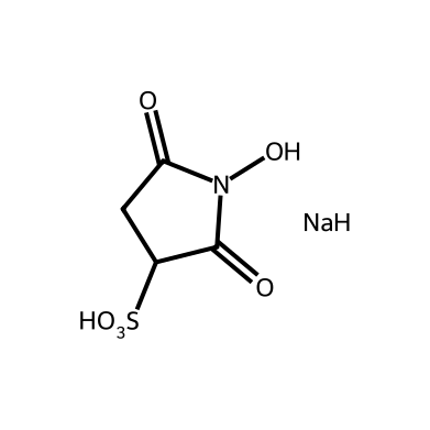 O=C1CC(S(=O)(=O)O)C(=O)N1O.[NaH]